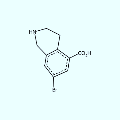 O=C(O)c1cc(Br)cc2c1CCNC2